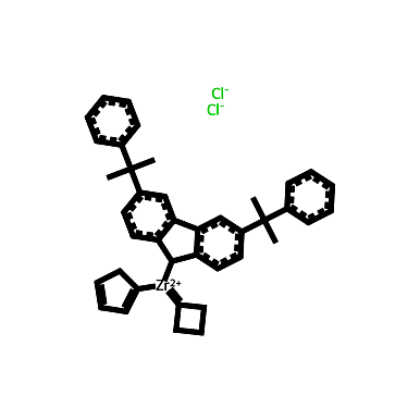 CC(C)(c1ccccc1)c1ccc2c(c1)-c1cc(C(C)(C)c3ccccc3)ccc1[CH]2[Zr+2]([C]1=CC=CC1)=[C]1CCC1.[Cl-].[Cl-]